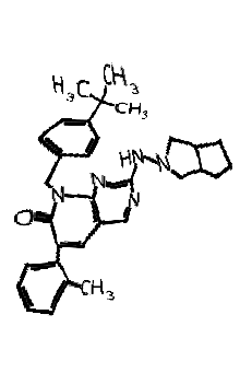 Cc1ccccc1-c1cc2cnc(NN3CC4CCCC4C3)nc2n(Cc2ccc(C(C)(C)C)cc2)c1=O